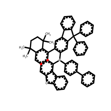 CC1(C)CCC(C)(C)c2c(-c3cc4c(cc3N(c3ccc(-c5ccccc5)cc3)c3cccc5oc6ccccc6c35)C(c3ccccc3)(c3ccccc3)c3ccccc3-4)cccc21